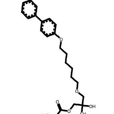 C=CC(=O)OCC(C)(O)COCCCCCCOc1ccc(-c2ccccc2)cc1